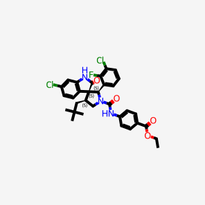 CCOC(=O)c1ccc(NC(=O)N2C[C@@H](CC(C)(C)C)[C@@]3(C(=O)Nc4cc(Cl)ccc43)[C@H]2c2cccc(Cl)c2F)cc1